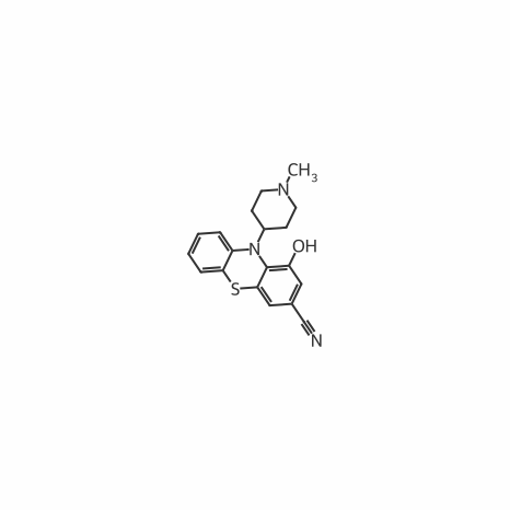 CN1CCC(N2c3ccccc3Sc3cc(C#N)cc(O)c32)CC1